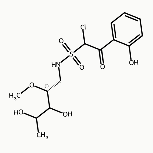 CO[C@H](CNS(=O)(=O)C(Cl)C(=O)c1ccccc1O)C(O)C(C)O